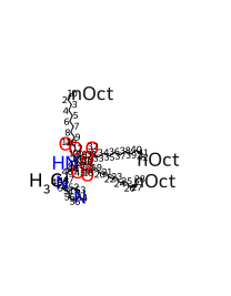 CCCCCCCC/C=C\CCCCCCCC(=O)OCC(COC(=O)CCCCCCC/C=C\CCCCCCCC)(COC(=O)CCCCCCC/C=C\CCCCCCCC)NC(=O)CCN(C)Cc1ccncc1